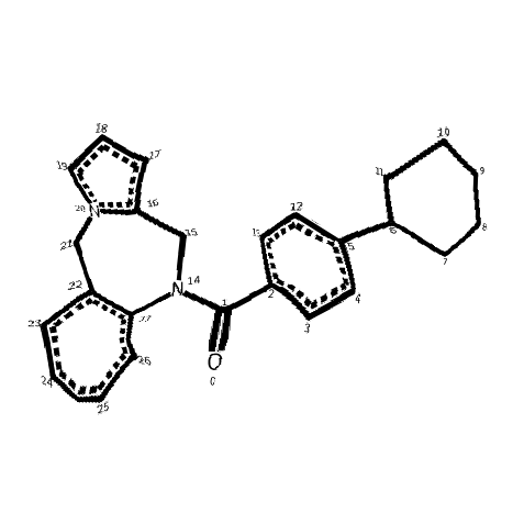 O=C(c1ccc(C2CCCCC2)cc1)N1Cc2cccn2Cc2ccccc21